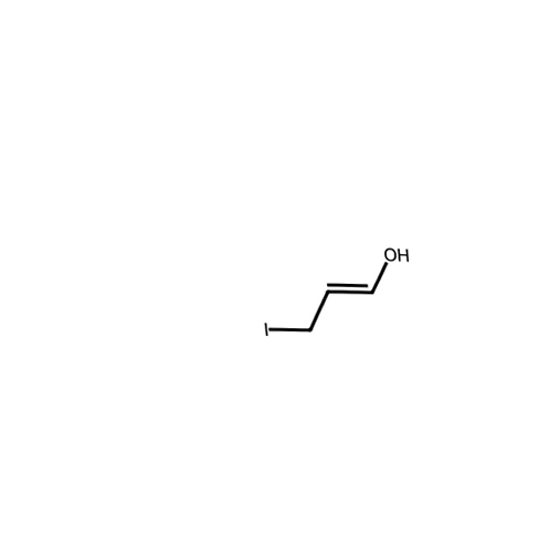 O/C=C/CI